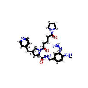 CNc1ccc(CNC(=O)[C@@H]2C[C@@H](Cc3ccncc3)CN2C(=O)CCCC(=O)N2CCCC2)cc1N=N